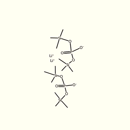 C[Si](C)(C)OP(=O)([O-])O[Si](C)(C)C.C[Si](C)(C)OP(=O)([O-])O[Si](C)(C)C.[Li+].[Li+]